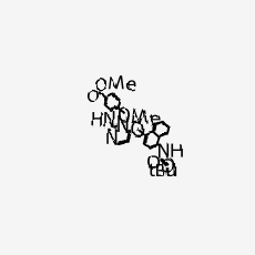 COC(=O)c1ccc(OC)c(Nc2nccc(Oc3ccc(NC(=O)OC(C)(C)C)c4ccccc34)n2)c1